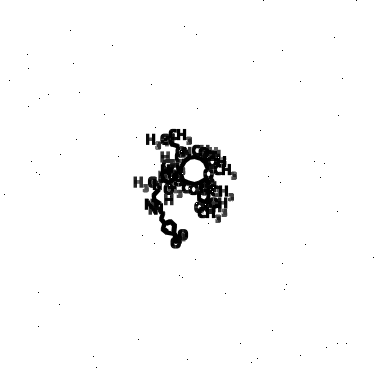 CC[C@H]1OC(=O)C(C)[C@@H](O[C@H]2C[C@@](C)(OC)[C@@H](O)C(C)O2)[C@H](C)[C@@H](OC2OC(C)CC(N(C)CCc3cn(CCc4ccc([N+](=O)[O-])cc4)nn3)[C@H]2O)[C@](C)(O)C[C@@H](C)/C(=N\OCCN(C)C)C(C)C(O)[C@]1(C)O